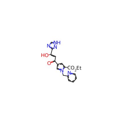 CCOC(=O)c1cc(C(=O)C=C(O)c2nc[nH]n2)cn1Cc1ccccn1